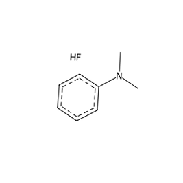 CN(C)c1ccccc1.F